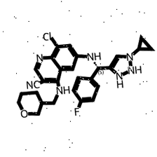 N#Cc1cnc2c(Cl)cc(N[C@H](C3=CN(C4CC4)NN3)c3ccc(F)cc3)cc2c1NCC1CCCOC1